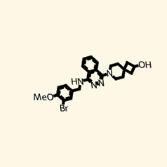 COc1ccc(CNc2nnc(N3CCC4(CC3)CC(O)C4)c3ccccc23)cc1Br